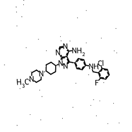 CN1CCN([C@H]2CC[C@H](n3nc(-c4ccc(NCc5c(F)cccc5Cl)cc4)c4c(N)ncnc43)CC2)CC1